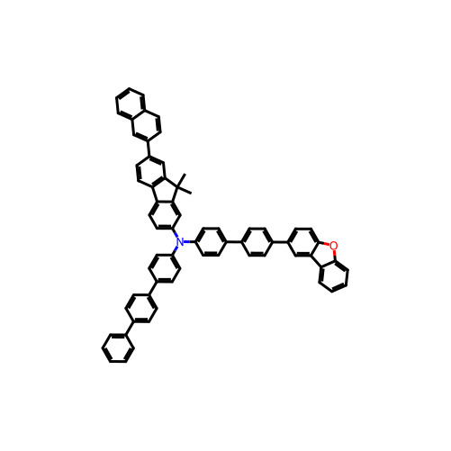 CC1(C)c2cc(-c3ccc4ccccc4c3)ccc2-c2ccc(N(c3ccc(-c4ccc(-c5ccccc5)cc4)cc3)c3ccc(-c4ccc(-c5ccc6oc7ccccc7c6c5)cc4)cc3)cc21